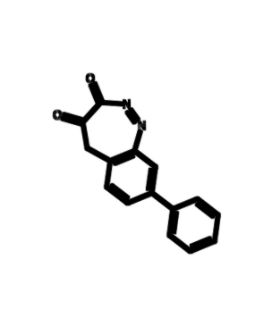 O=C1Cc2ccc(-c3ccccc3)cc2N=NC1=O